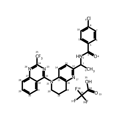 CC(NC(=O)c1ccc(Cl)cc1)c1ccc2c(n1)CCCN2c1nc(C(F)(F)F)nc2ccccc12.O=C(O)C(F)(F)F